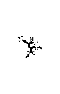 CCOC(=O)c1cc(C#C[Si](C)(C)C)c(N)nc1OCC